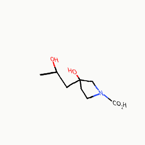 CC(O)CC1(O)CN(C(=O)O)C1